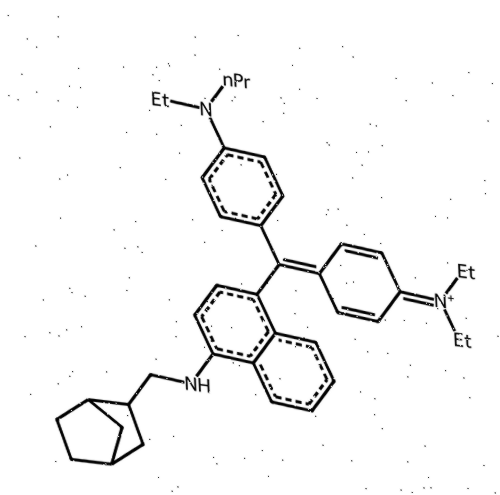 CCCN(CC)c1ccc(C(=C2C=CC(=[N+](CC)CC)C=C2)c2ccc(NCC3CC4CCC3C4)c3ccccc23)cc1